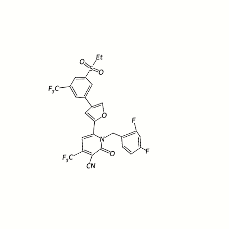 CCS(=O)(=O)c1cc(-c2coc(-c3cc(C(F)(F)F)c(C#N)c(=O)n3Cc3ccc(F)cc3F)c2)cc(C(F)(F)F)c1